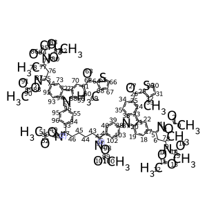 CC(=O)ON=C(CC(C)N(OC(C)=O)C(C)=O)c1ccc2c(c1)c1cc(C(=O)c3sccc3C)ccc1n2-c1ccc(/C(CCCC/C(=N/OC(C)=O)c2ccc(-n3c4ccc(C(=O)c5sccc5C)cc4c4cc(C(CC(C)N(OC(C)=O)C(C)=O)=NOC(C)=O)ccc43)cc2)=N\OC(C)=O)cc1